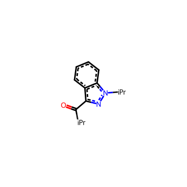 CC(C)C(=O)c1nn(C(C)C)c2ccccc12